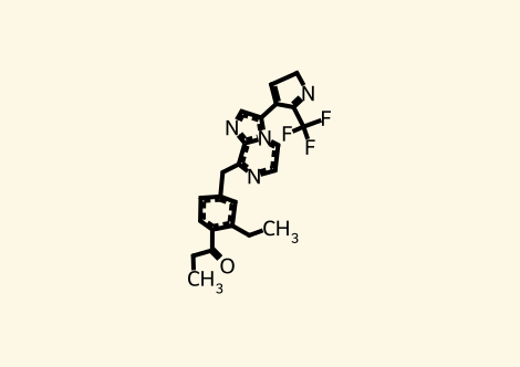 CCC(=O)c1ccc(Cc2nccn3c(C4=CCN=C4C(F)(F)F)cnc23)cc1CC